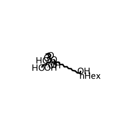 CCCCCCC(O)CCCCCCCCCCC(=O)O[C@H](C1OCCO1)[C@@H](O)[C@H](O)[C@H](O)CO